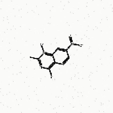 Cc1nc(Cl)c2ccc([N+](=O)[O-])cc2[n+]1[O-]